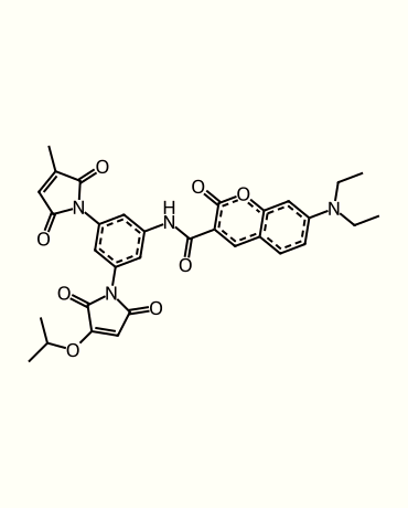 CCN(CC)c1ccc2cc(C(=O)Nc3cc(N4C(=O)C=C(C)C4=O)cc(N4C(=O)C=C(OC(C)C)C4=O)c3)c(=O)oc2c1